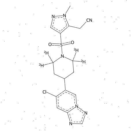 [2H]C1([2H])CC(c2cn3ncnc3cc2Cl)CC([2H])([2H])N1S(=O)(=O)c1cnn(C)c1CC#N